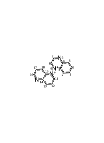 c1ccc2c(c1)ncc[n+]2-[n+]1cccc2ncccc21